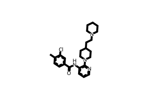 Cc1ccc(C(=O)Nc2cccnc2N2CCC(CCN3CCCCC3)CC2)cc1Cl